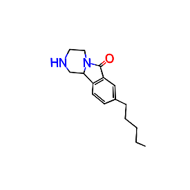 CCCCCc1ccc2c(c1)C(=O)N1CCNCC21